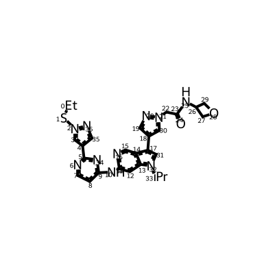 CCSn1cc(-c2nccc(Nc3cc4c(cn3)c(-c3cnn(CC(=O)NC5COC5)c3)cn4C(C)C)n2)cn1